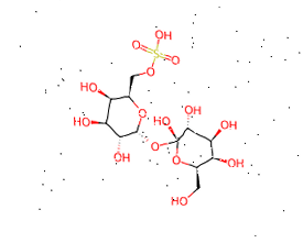 O=S(=O)(O)OC[C@H]1O[C@H](O[C@@]2(O)O[C@H](CO)[C@H](O)[C@H](O)[C@H]2O)[C@H](O)[C@@H](O)[C@H]1O